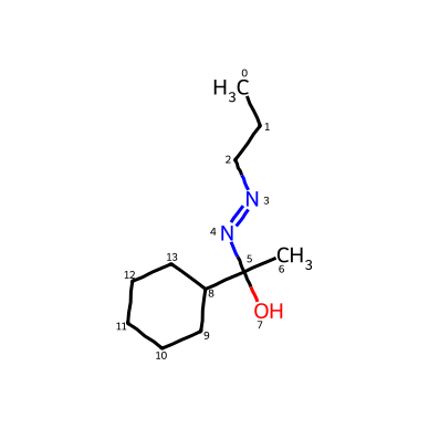 CCC/N=N/C(C)(O)C1CCCCC1